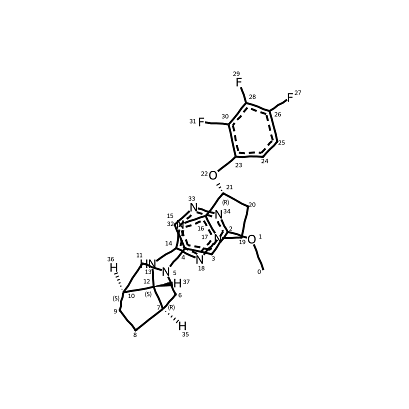 COc1cc(N2C[C@H]3CC[C@@H](C2)[C@@H]3Nc2nc3n(n2)CC[C@H]3Oc2ccc(F)c(F)c2F)cnn1